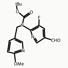 COc1ccc(CN(C(=O)OC(C)(C)C)c2ncc(C=O)cc2F)cn1